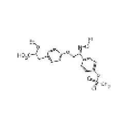 CCON=C(COc1ccc(CC(OCC)C(=O)O)cc1)c1ccc(OS(C)(=O)=O)cc1